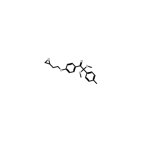 COC(OC)(C(=O)c1ccc(OCCC2CO2)cc1)c1ccc(C)cc1